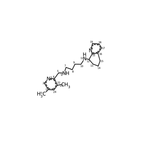 Cc1cnc(CNCCCCNC2CCCc3cccnc32)c(C)c1